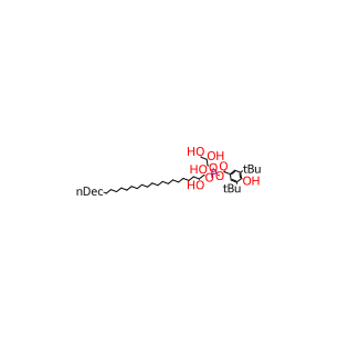 CCCCCCCCCCCCCCCCCCCCCCCCCCCCC(O)COP(OC(=O)c1cc(C(C)(C)C)c(O)c(C(C)(C)C)c1)OC(O)C(O)CO